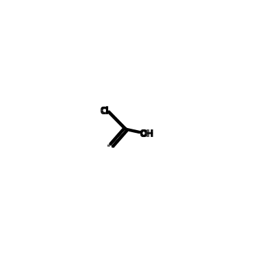 [CH]=C(O)Cl